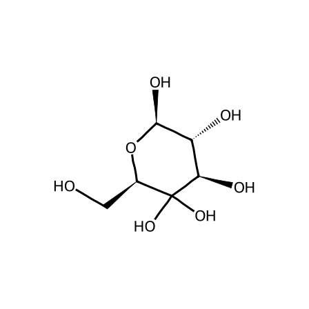 OC[C@H]1O[C@@H](O)[C@H](O)[C@@H](O)C1(O)O